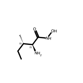 CC[C@H](C)[C@H](N)C(=O)NO